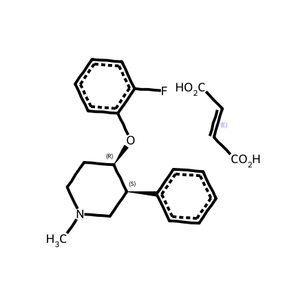 CN1CC[C@@H](Oc2ccccc2F)[C@@H](c2ccccc2)C1.O=C(O)/C=C/C(=O)O